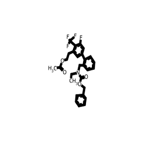 CCN(Cc1ccccc1-c1cc(F)c(C(F)(F)F)c(CCOC(C)=O)c1)C(=O)OCc1ccccc1